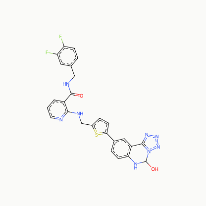 O=C(NCc1ccc(F)c(F)c1)c1cccnc1NCc1ccc(-c2ccc3c(c2)-c2nnnn2C(O)N3)s1